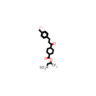 BCc1ccc(CCC(=O)C2CCC(C(=O)OC(CS(=O)(=O)O)C(F)(F)F)CC2)cc1